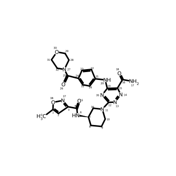 Cc1cc(C(=O)N[C@@H]2CCCN(c3nnc(C(N)=O)c(Nc4ccc(C(=O)N5CCOCC5)cc4)n3)C2)no1